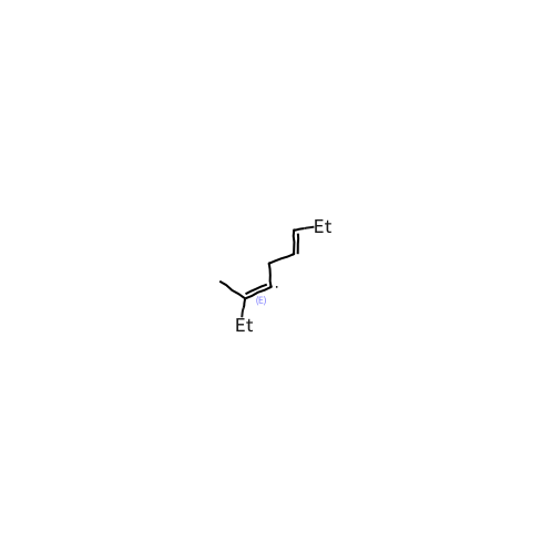 CCC=CC/[C]=C(\C)CC